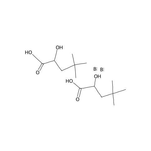 CC(C)(C)CC(O)C(=O)O.CC(C)(C)CC(O)C(=O)O.[B].[B]